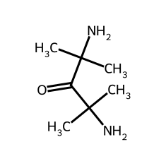 CC(C)(N)C(=O)C(C)(C)N